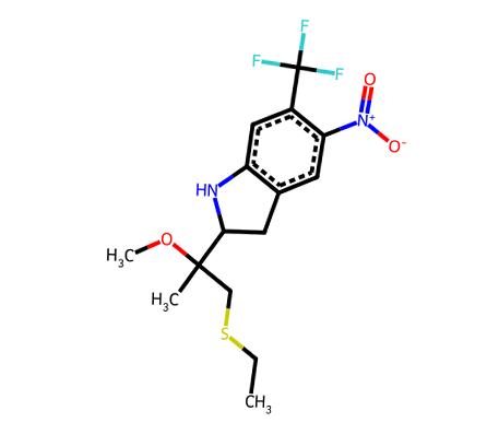 CCSCC(C)(OC)C1Cc2cc([N+](=O)[O-])c(C(F)(F)F)cc2N1